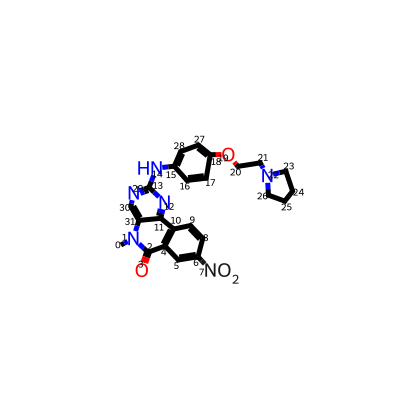 Cn1c(=O)c2cc([N+](=O)[O-])ccc2c2nc(Nc3ccc(OCCN4CCCC4)cc3)ncc21